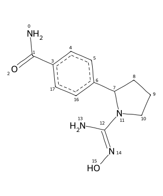 NC(=O)c1ccc(C2CCCN2/C(N)=N/O)cc1